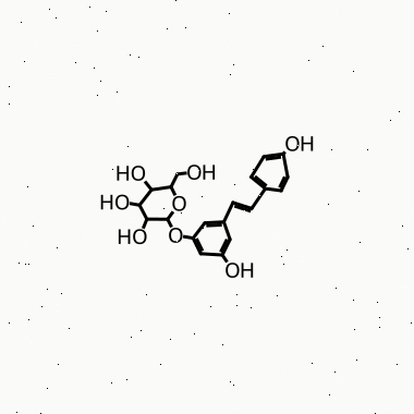 OCC1OC(Oc2cc(O)cc(C=Cc3ccc(O)cc3)c2)C(O)C(O)C1O